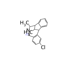 CC1/N=C\c2ccc(Cl)cc2C2c3ccccc3C1C2C